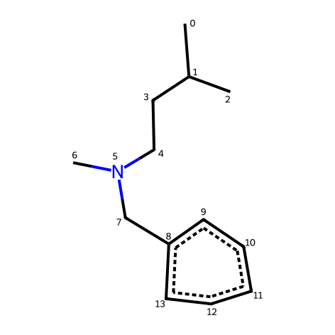 CC(C)CCN(C)Cc1ccccc1